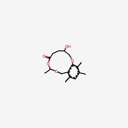 Cc1cc(C)c2c(c1C)OCC(O)CCC(=O)OC(C)CC2